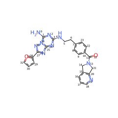 Nc1nc(NCCc2ccc(C(=O)N3Cc4cccnc4C3)cc2)nc2nc(-c3ccco3)nn12